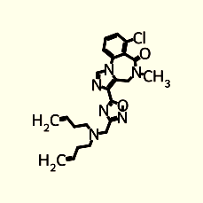 C=CCCN(CCC=C)Cc1noc(-c2ncn3c2CN(C)C(=O)c2c(Cl)cccc2-3)n1